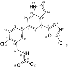 Cc1nnc(-c2cc(-c3cnc(Cl)c(CN[SH](=O)=O)c3)cc3[nH]ncc23)o1